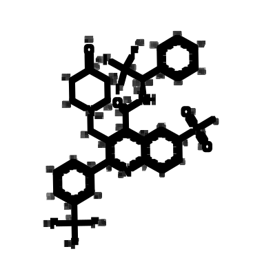 CS(=O)(=O)c1ccc2nc(-c3cccc(C(F)(F)F)c3)c(CN3CCC(=O)CC3)c(C(=O)N[C@H](c3ccccc3)C(F)(F)F)c2c1